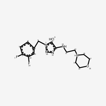 Cl.Fc1ccc(Cn2cc(NCCN3CCOCC3)nn2)cc1F